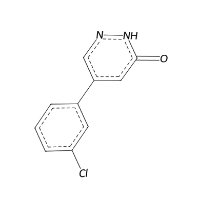 O=c1cc(-c2cccc(Cl)c2)cn[nH]1